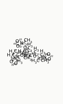 CC(COC(C)(C)C(CC(C)(C)OCC(C)C(C)(C)N1COCOC1)CC(C)(C)OCC(C)C(C)(C)N1COCOC1)N1COCOC1